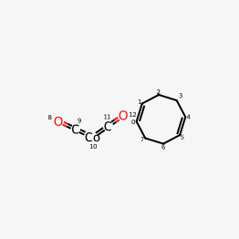 C1=CCCC=CCC1.O=[C]=[Co]=[C]=O